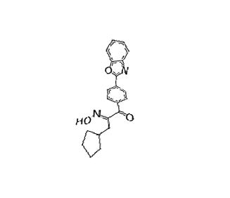 O=C(C(CC1CCCC1)=NO)c1ccc(-c2nc3ccccc3o2)cc1